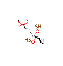 COC(=O)CCC[C@H](OS)[C@@H](/C=C/I)OS